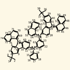 CC(C)(C)c1ccc2c(c1)c1cc(N(c3ccccc3)c3cccc(N(c4ccc5c(c4)c4cc(C(C)(C)C)ccc4n5-c4cccc5ccccc45)c4cccc5ccccc45)c3)ccc1n2-c1cccc2ccccc12